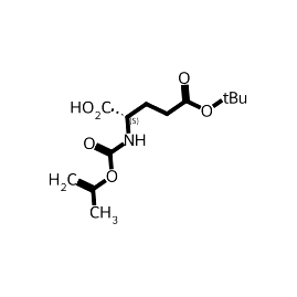 C=C(C)OC(=O)N[C@@H](CCC(=O)OC(C)(C)C)C(=O)O